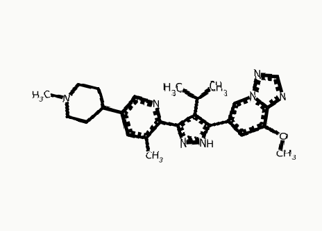 COc1cc(-c2[nH]nc(-c3ncc(C4CCN(C)CC4)cc3C)c2C(C)C)cn2ncnc12